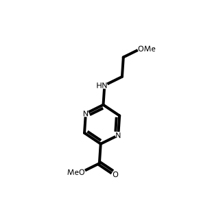 COCCNc1cnc(C(=O)OC)cn1